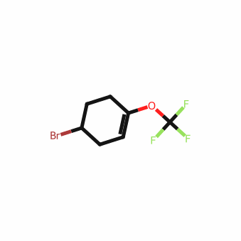 FC(F)(F)OC1=CCC(Br)CC1